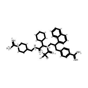 N=C(N)c1ccc(CC(CN(C(=O)C(F)(F)F)C(C(=O)NCC2CCN(C(=N)N)CC2)C2CCCCC2)c2cccc3ccccc23)cc1